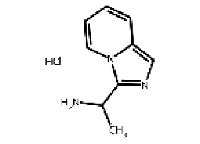 CC(N)c1ncc2ccccn12.Cl